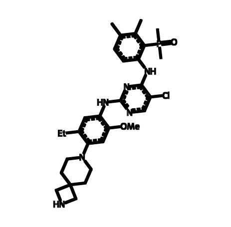 CCc1cc(Nc2ncc(Cl)c(Nc3ccc(C)c(C)c3P(C)(C)=O)n2)c(OC)cc1N1CCC2(CC1)CNC2